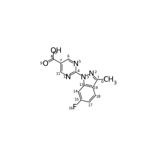 Cc1nn(-c2ncc(C(=O)O)cn2)c2cc(F)ccc12